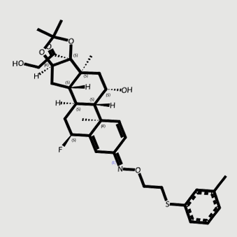 Cc1cccc(SCCO/N=C2\C=C[C@@]3(C)C(=C2)[C@@H](F)C[C@@H]2[C@@H]3[C@@H](O)C[C@@]3(C)[C@H]2C[C@H]2OC(C)(C)O[C@]23C(=O)CO)c1